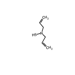 C=CCN(S)CC=C